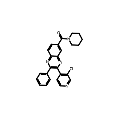 O=C(c1ccc2nc(-c3ccccc3)c(-c3ccncc3Cl)nc2c1)N1CCCCC1